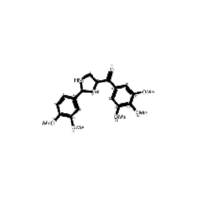 COc1ccc(C2NCC(C(=O)c3cc(OC)c(OC)c(OC)c3)N2)cc1OC